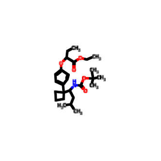 CCOC(=O)C(CC)Oc1ccc(C2(C(CC(C)C)NC(=O)OC(C)(C)C)CCC2)cc1